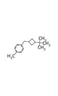 Cc1ccc(CC2CC(C(C)(C)C)C2)cc1